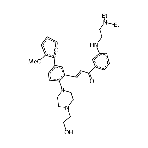 CCN(CC)CCNc1cccc(C(=O)C=Cc2cc(-c3ccccc3OC)ccc2N2CCN(CCO)CC2)c1